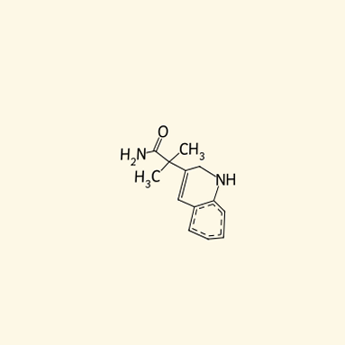 CC(C)(C(N)=O)C1=Cc2ccccc2NC1